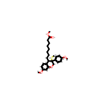 COC(=O)CCCCCCCC1c2ccc(OC)cc2OCC1(SC)c1ccc(OC)cc1